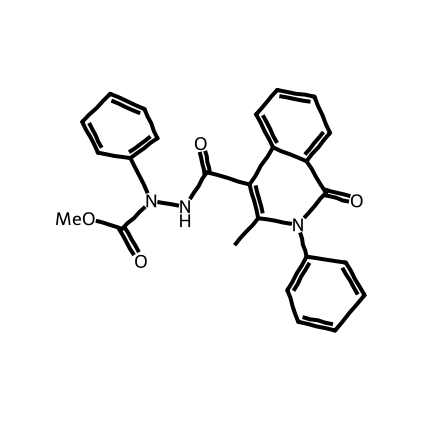 COC(=O)N(NC(=O)c1c(C)n(-c2ccccc2)c(=O)c2ccccc12)c1ccccc1